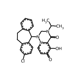 CC(C)N1CN(C2c3ccccc3CCc3cc(Cl)ccc32)n2ccc(=O)c(O)c2C1=O